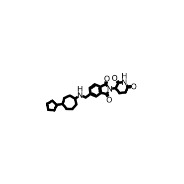 O=C1CCC(N2C(=O)c3ccc(CNC4CCCC(C5CCCC5)CC4)cc3C2=O)C(=O)N1